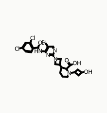 CC(Nc1nc(N2CC(C3CCCN(C4CC(O)C4)C3C(=O)O)C2)ncc1Cl)c1ccc(Cl)cc1Cl